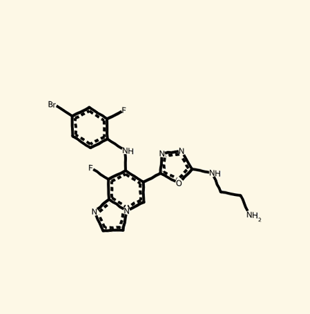 NCCNc1nnc(-c2cn3ccnc3c(F)c2Nc2ccc(Br)cc2F)o1